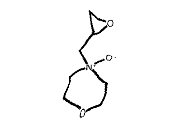 [O-][N+]1(CC2CO2)CCOCC1